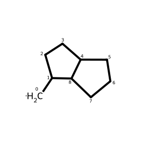 [CH2]C1CCC2CCCC12